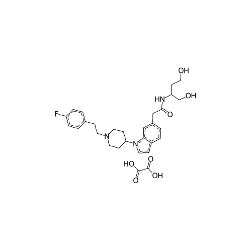 O=C(Cc1ccc2ccn(C3CCN(CCc4ccc(F)cc4)CC3)c2c1)NC(CO)CCO.O=C(O)C(=O)O